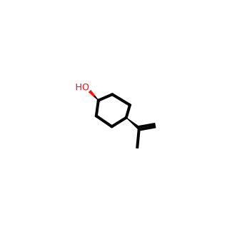 C=C(C)[C@H]1CC[C@@H](O)CC1